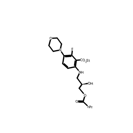 CCCC(=O)OC[C@H](O)CNc1ccc(N2CCOCC2)c(F)c1C(=O)OCC